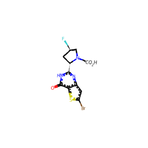 O=C(O)N1C[C@H](F)C[C@H]1c1nc2cc(Br)sc2c(=O)[nH]1